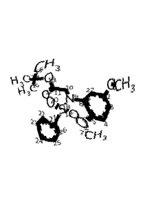 COc1ccc(OC)c(N(CC(=O)OC(C)(C)C)S(=O)(=O)c2ccccc2)c1